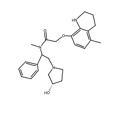 Cc1ccc(OCC(=O)N(C)C(CN2CC[C@H](O)C2)c2ccccc2)c2c1CCCN2